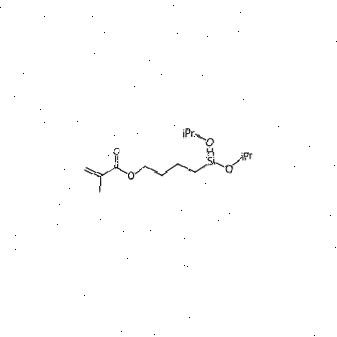 C=C(C)C(=O)OCCCC[SiH](OC(C)C)OC(C)C